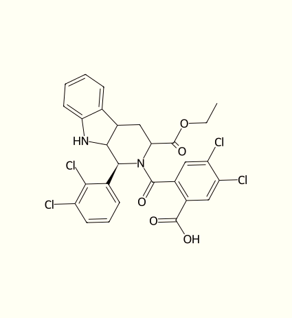 CCOC(=O)C1CC2c3ccccc3NC2[C@H](c2cccc(Cl)c2Cl)N1C(=O)c1cc(Cl)c(Cl)cc1C(=O)O